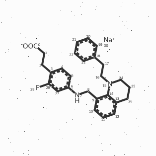 O=C([O-])CCc1ccc(NCc2cccc3c2N(CCc2ccccc2)CCC3)cc1F.[Na+]